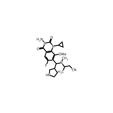 COc1c(C(C2CCNC2)N(C)C(C)CC#N)c(F)cc2c(=O)n(N)c(=O)n(C3CC3)c12